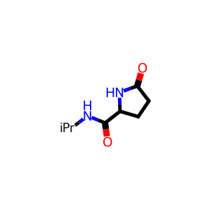 CC(C)NC(=O)C1CCC(=O)N1